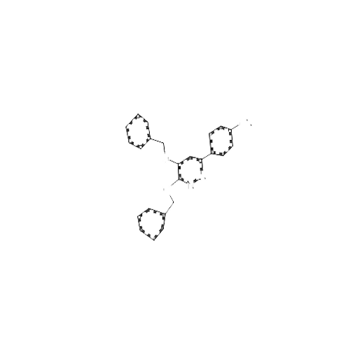 N#Cc1ccc(-c2cc(OCc3ccccc3)c(OCc3ccccc3)nn2)cc1